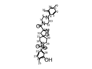 Cc1ccc(N2CCN(C(=O)C3=NOC4(CCN(S(=O)(=O)c5ccc(C)c(O)c5)CC4)C3)CC2)c(C)c1